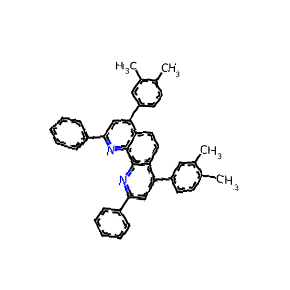 Cc1ccc(-c2cc(-c3ccccc3)nc3c2ccc2c(-c4ccc(C)c(C)c4)cc(-c4ccccc4)nc23)cc1C